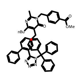 CCCCc1nc(C)n(Cc2ccc(C(=O)OC)cc2)c(=O)c1Cc1ccc(-c2ccccc2)c(-c2nnnn2C(c2ccccc2)(c2ccccc2)c2ccccc2)c1